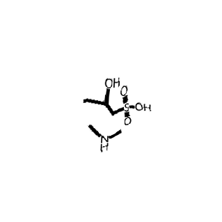 CC(O)CS(=O)(=O)O.CNC